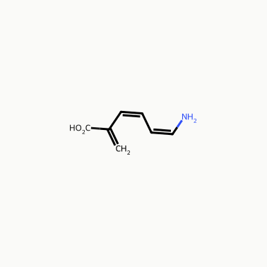 C=C(/C=C\C=C/N)C(=O)O